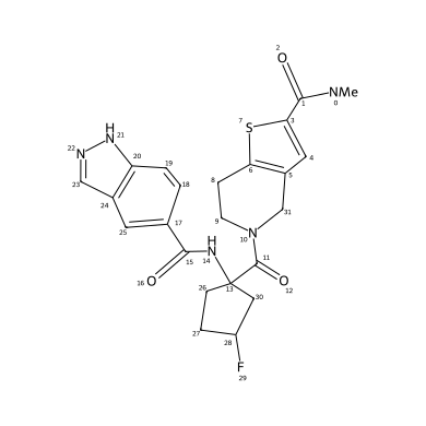 CNC(=O)c1cc2c(s1)CCN(C(=O)C1(NC(=O)c3ccc4[nH]ncc4c3)CCC(F)C1)C2